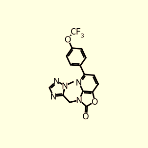 Cn1ncnc1Cn1c(=O)oc2ccc(-c3ccc(OC(F)(F)F)cc3)nc21